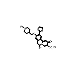 CCOC(=O)c1cn2c(cc1=O)-c1cc(-c3nccs3)c(OCC3CCN(C(C)C)CC3)cc1CC2C(C)C